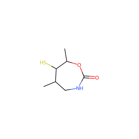 CC1CNC(=O)OC(C)C1S